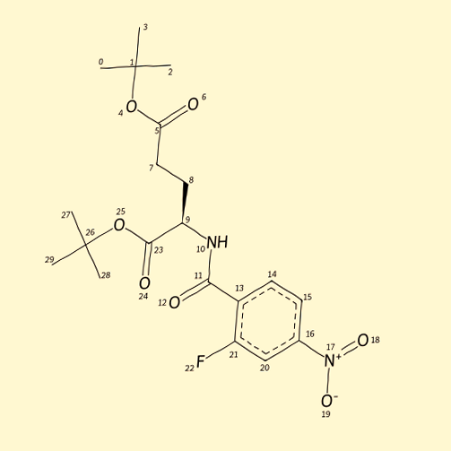 CC(C)(C)OC(=O)CC[C@@H](NC(=O)c1ccc([N+](=O)[O-])cc1F)C(=O)OC(C)(C)C